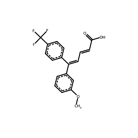 COc1cccc(C(=CC=CC(=O)O)c2ccc(C(F)(F)F)cc2)c1